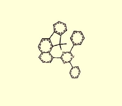 CC1(C)c2ccccc2-c2ccc3cccc(-c4nc(-c5ccccc5)nc(-c5ccccc5)n4)c3c21